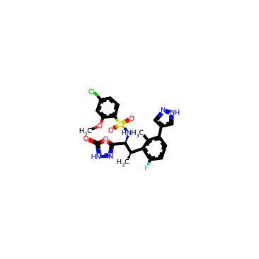 COc1cc(Cl)ccc1S(=O)(=O)N[C@H](c1n[nH]c(=O)o1)[C@H](C)c1c(F)ccc(-c2cn[nH]c2)c1C